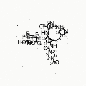 CC(=O)N1CCN(C(=O)Nc2ccc3cc2CCc2cncc(c2)Nc2ncc(Cl)c(n2)N3)CC1.O=C(O)C(F)(F)F.O=C(O)C(F)(F)F